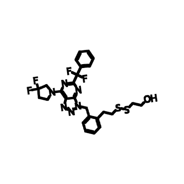 OCCSSCCc1ccccc1Cn1nnc2c(N3CCC(F)(F)C3)nc(C(F)(F)c3ccccc3)nc21